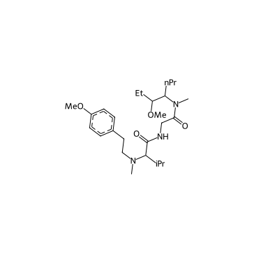 CCCC(C(CC)OC)N(C)C(=O)CNC(=O)C(C(C)C)N(C)CCc1ccc(OC)cc1